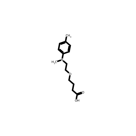 Cc1ccc(N(C)CCOCCCC(=O)O)cc1